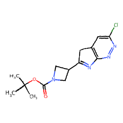 CC(C)(C)OC(=O)N1CC(C2=Nc3nnc(Cl)cc3C2)C1